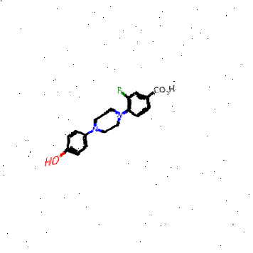 O=C(O)c1ccc(N2CCN(c3ccc(O)cc3)CC2)c(F)c1